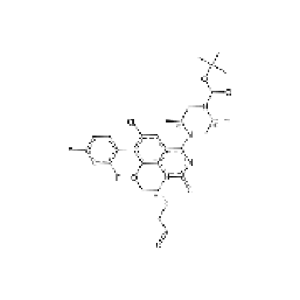 C[C@@H]1CN(c2nc(=O)n3c4c(c(-c5ccc(F)cc5F)c(Cl)cc24)OC[C@H]3CCC=O)[C@@H](C)CN1C(=O)OC(C)(C)C